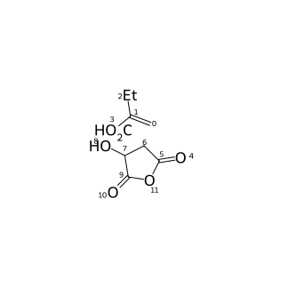 C=C(CC)C(=O)O.O=C1CC(O)C(=O)O1